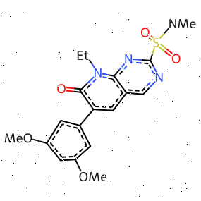 CCn1c(=O)c(-c2cc(OC)cc(OC)c2)cc2cnc(S(=O)(=O)NC)nc21